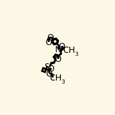 CCOC(=O)C1(SCC=Cc2ccc(Cc3nc(-c4ccc5c(c4)OCO5)oc3C)o2)CCC1